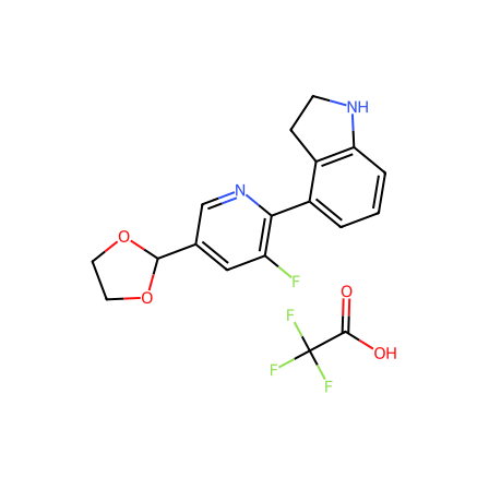 Fc1cc(C2OCCO2)cnc1-c1cccc2c1CCN2.O=C(O)C(F)(F)F